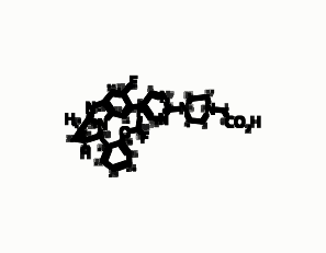 O=C(O)CN1CCN(c2ncc(-c3cc4c(cc3F)nc3n4[C@@H](c4ccccc4OC(F)F)[C@H]4C[C@@H]34)cn2)CC1